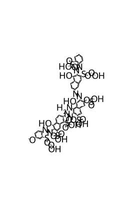 COc1ccc(N=Nc2c(S(=O)(=O)O)cc3c(S(=O)(=O)O)c(N=Nc4c(S(=O)(=O)O)cc5cc(OS(=O)O)c(N=Nc6ccc7c(O)c(N=Nc8ccccc8S(=O)(=O)O)c(SOOO)cc7c6)c(O)c5c4N)ccc3c2O)c(SOOO)c1